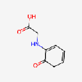 O=C(O)CNC1=CC=CCC1=O